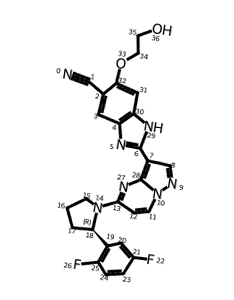 N#Cc1cc2nc(-c3cnn4ccc(N5CCC[C@@H]5c5cc(F)ccc5F)nc34)[nH]c2cc1OCCO